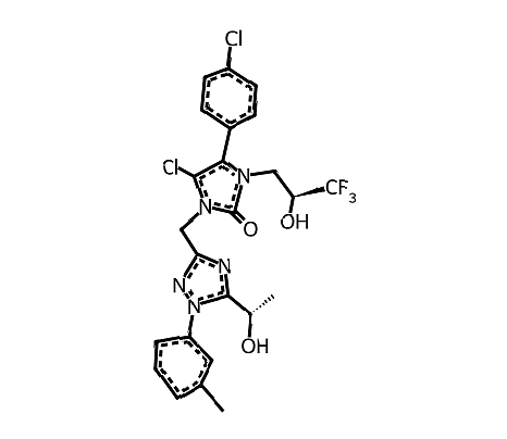 Cc1cccc(-n2nc(Cn3c(Cl)c(-c4ccc(Cl)cc4)n(C[C@H](O)C(F)(F)F)c3=O)nc2[C@H](C)O)c1